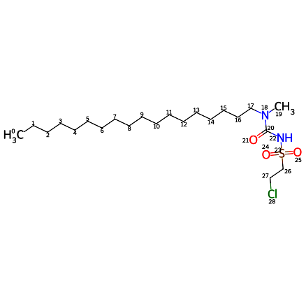 CCCCCCCCCCCCCCCCCCN(C)C(=O)NS(=O)(=O)CCCl